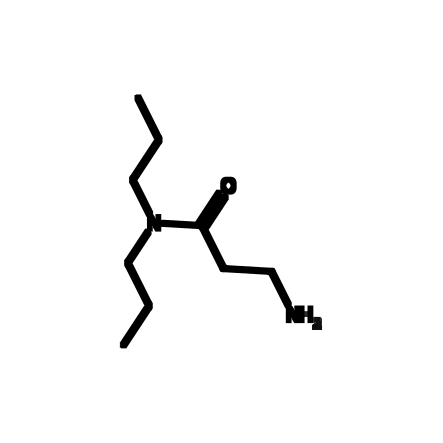 CCCN(CCC)C(=O)CCN